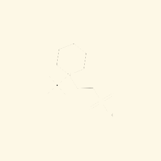 O=S(=O)(O)CC[N+]1(C(F)(F)F)CCCCC1